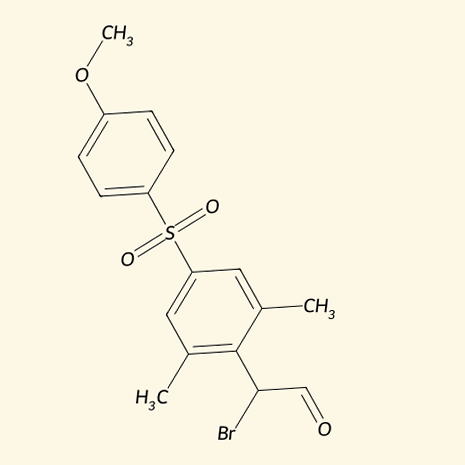 COc1ccc(S(=O)(=O)c2cc(C)c(C(Br)C=O)c(C)c2)cc1